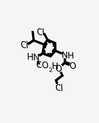 CC(Cl)c1c(Cl)cc(NC(=O)OCCCl)cc1NC(=O)O